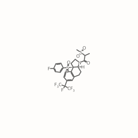 CC(C(=O)N1CC[C@@]2(S(=O)(=O)c3ccc(F)cc3)c3ccc(C(F)(C(F)(F)F)C(F)(F)F)cc3CC[C@@H]12)S(C)(=O)=O